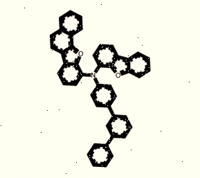 c1ccc(-c2cccc(-c3ccc(N(c4cccc5c4oc4ccccc45)c4cccc5c4oc4c6ccccc6ccc54)cc3)c2)cc1